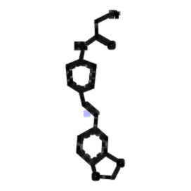 CC(C)CC(=O)Nc1ccc(/C=C/c2ccc3c(c2)OCO3)cc1